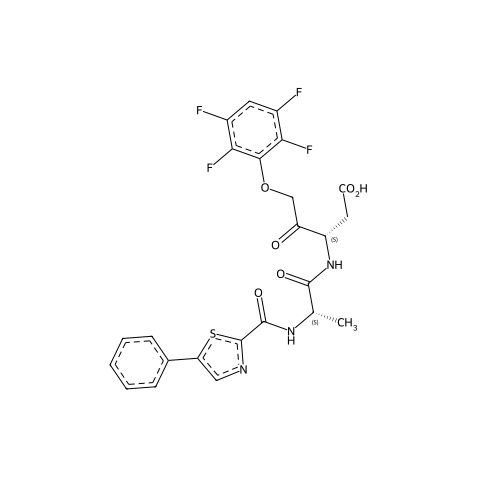 C[C@H](NC(=O)c1ncc(-c2ccccc2)s1)C(=O)N[C@@H](CC(=O)O)C(=O)COc1c(F)c(F)cc(F)c1F